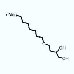 CCCCCCCCCCCCCCCCOCCC(O)CO